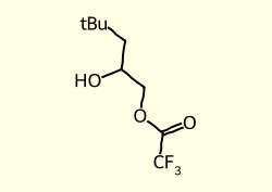 CC(C)(C)CC(O)COC(=O)C(F)(F)F